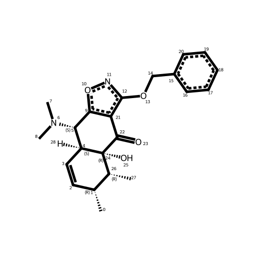 C[C@@H]1C=C[C@H]2[C@H](N(C)C)c3onc(OCc4ccccc4)c3C(=O)[C@@]2(O)[C@@H]1C